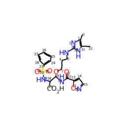 Cc1nc(NCCCOC(NC(=O)c2ccno2)C(NS(=O)(=O)c2ccccc2)C(=O)O)[nH]c1C